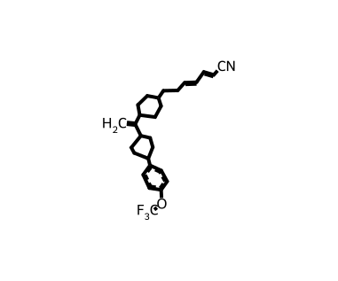 C=C(C1CCC(CCC=CC=CC#N)CC1)C1CCC(c2ccc(OC(F)(F)F)cc2)CC1